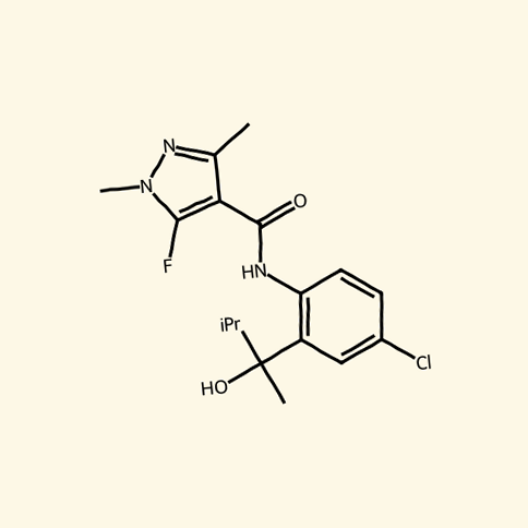 Cc1nn(C)c(F)c1C(=O)Nc1ccc(Cl)cc1C(C)(O)C(C)C